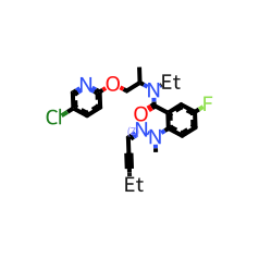 CCC#C/C=N\N(C)c1ccc(F)cc1C(=O)N(CC)C(C)COc1ccc(Cl)cn1